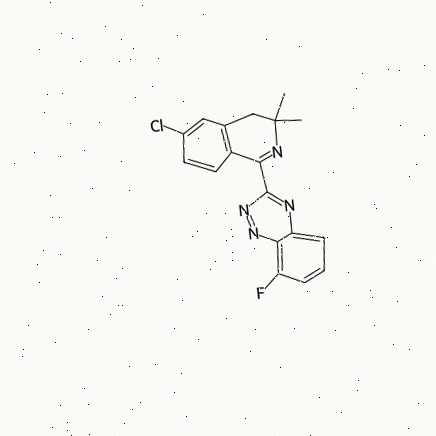 CC1(C)Cc2cc(Cl)ccc2C(c2nnc3c(F)cccc3n2)=N1